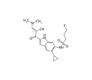 CN(C)/C=C(\C#N)C(=O)c1cc2cc(C3CC3)c(NS(=O)(=O)CCCF)cc2[nH]1